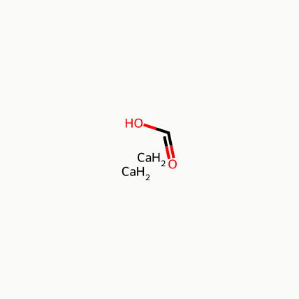 O=CO.[CaH2].[CaH2]